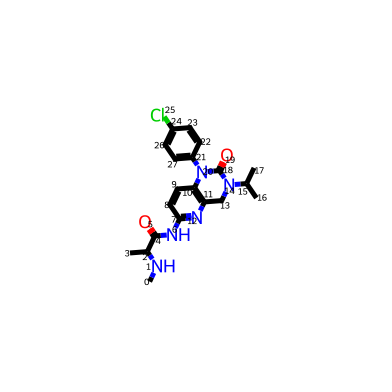 CNC(C)C(=O)Nc1ccc2c(n1)CN(C(C)C)C(=O)N2c1ccc(Cl)cc1